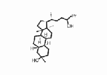 CC(C)C(O)CC[C@@H](C)[C@H]1CC[C@@]2(C)[C@@H]3CC[C@H]4C[C@@](C)(O)CC[C@@H]4[C@H]3CC[C@]12C